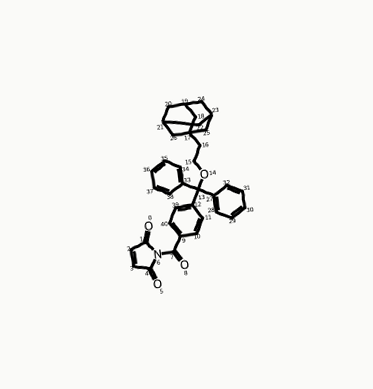 O=C1C=CC(=O)N1C(=O)c1ccc(C(OCCC23CC4CC(CC(C4)C2)C3)(c2ccccc2)c2ccccc2)cc1